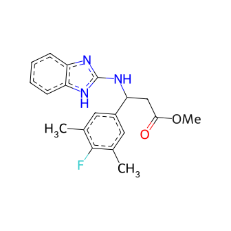 COC(=O)CC(Nc1nc2ccccc2[nH]1)c1cc(C)c(F)c(C)c1